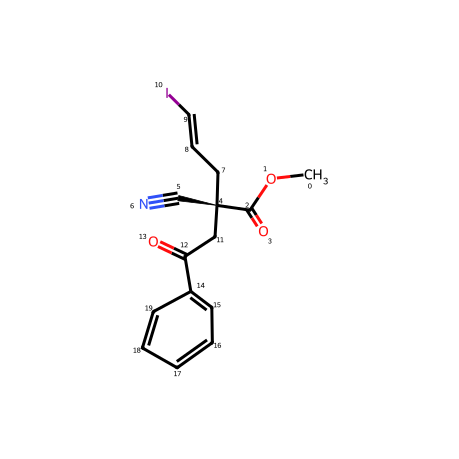 COC(=O)[C@@](C#N)(C/C=C/I)CC(=O)c1ccccc1